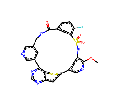 COc1ncc2cc1NS(=O)(=O)c1cc(ccc1F)C(=O)NCc1cncc(c1)-c1ncnc3cc-2sc13